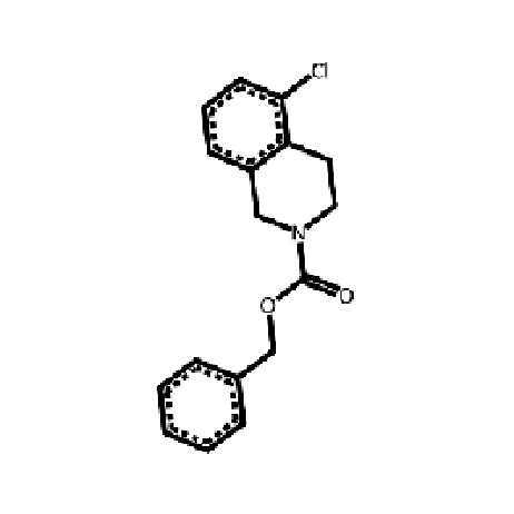 O=C(OCc1ccccc1)N1CCc2c(Cl)cccc2C1